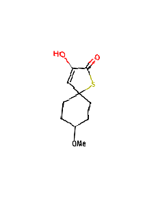 COC1CCC2(C=C(O)C(=O)S2)CC1